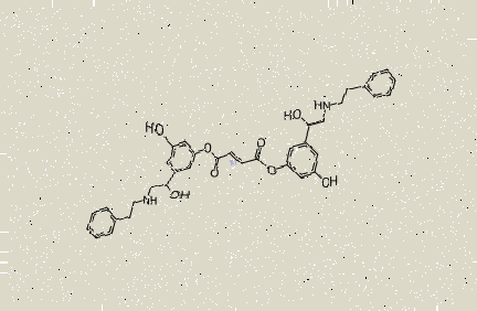 O=C(/C=C/C(=O)Oc1cc(O)cc(C(O)CNCCc2ccccc2)c1)Oc1cc(O)cc(C(O)CNCCc2ccccc2)c1